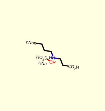 CCCCCCCCCCCCNCCC(=O)O.O=S(=O)(O)O.[NaH]